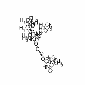 Cc1ncsc1-c1ccc(CNC(=O)[C@@H]2C[C@@H](OC(=O)[C@H](C)N(OC=O)C(=O)[C@@H](N)C(C)C)CN2C(=O)[C@@H](NC(=O)COCCOCCOCCOc2cc(F)c([C@@H]3c4[nH]c5ccccc5c4C[C@@H](C)N3CC(C)(C)F)c(F)c2)C(C)(C)C)cc1